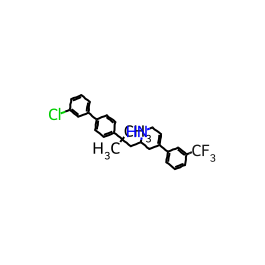 CC(C)(CC1CC(c2cccc(C(F)(F)F)c2)=CCN1)c1ccc(-c2cccc(Cl)c2)cc1